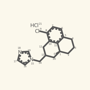 CC12CCCc3ccc(Cl)c(c31)CC(Cn1ccnc1)C2.Cl